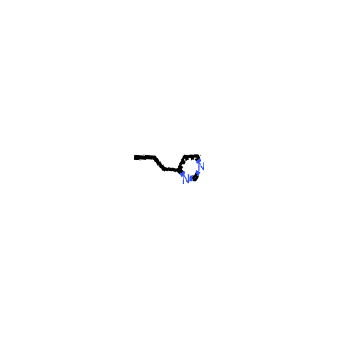 CCCc1c[c]ncn1